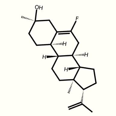 C=C(C)[C@H]1CC[C@H]2[C@@H]3CC(F)=C4C[C@](C)(O)CC[C@@H]4[C@H]3CC[C@]12C